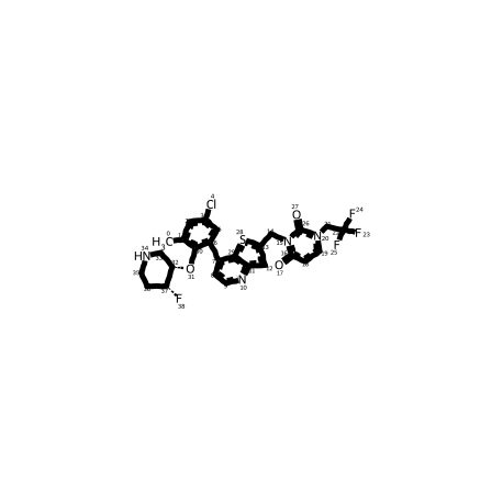 Cc1cc(Cl)cc(-c2ccnc3cc(Cn4c(=O)ccn(CC(F)(F)F)c4=O)sc23)c1O[C@H]1CNCC[C@H]1F